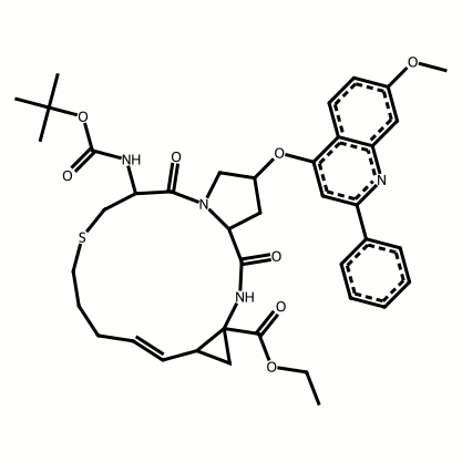 CCOC(=O)C12CC1/C=C/CCCSCC(NC(=O)OC(C)(C)C)C(=O)N1CC(Oc3cc(-c4ccccc4)nc4cc(OC)ccc34)CC1C(=O)N2